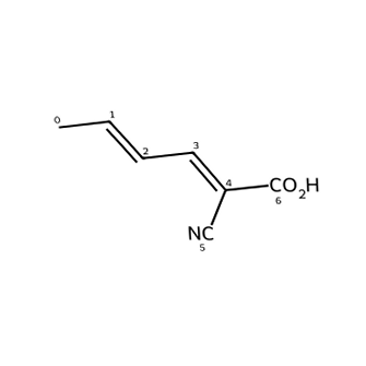 C/C=C/C=C(\C#N)C(=O)O